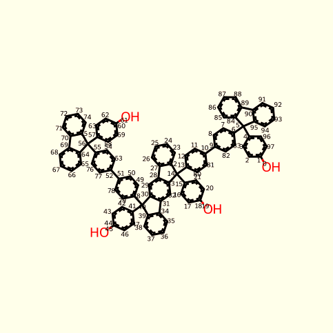 Oc1ccc(C2(c3ccc(-c4ccc(C5(c6ccc(O)cc6)c6ccccc6-c6cc7c(cc65)-c5ccccc5C7(c5ccc(O)cc5)c5ccc(-c6ccc(C7(c8ccc(O)cc8)c8ccccc8-c8ccccc87)cc6)cc5)cc4)cc3)c3ccccc3-c3ccccc32)cc1